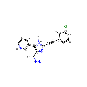 C=C(N)c1nc(C#Cc2cccc(Cl)c2C)n(C)c1-c1cccnc1